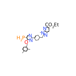 CCOC(=O)c1ccc2nc(CC3CC=C(c4ncc(P)c(OCc5ccc(C)cc5C)n4)CC3)n(C)c2n1